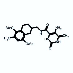 C=C1NC(=O)NC(C(=O)NCC2CCc3c(c(OC)cc(C)c3OC)C2)=C1N